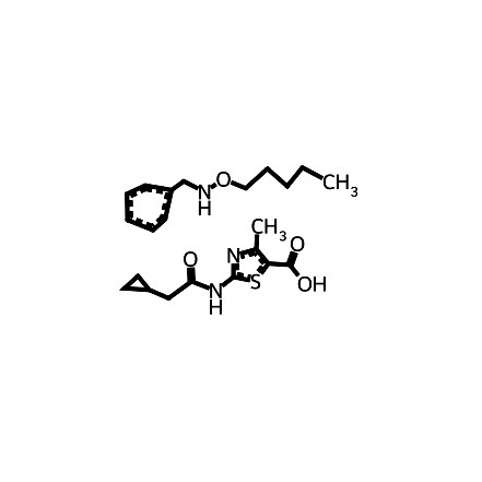 CCCCCONCc1ccccc1.Cc1nc(NC(=O)CC2CC2)sc1C(=O)O